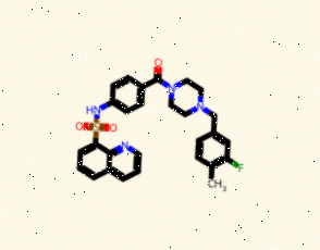 Cc1ccc(CN2CCN(C(=O)c3ccc(NS(=O)(=O)c4cccc5cccnc45)cc3)CC2)cc1F